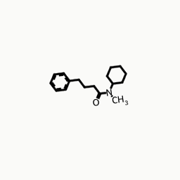 CN(C(=O)CCCc1ccccc1)C1CCCCC1